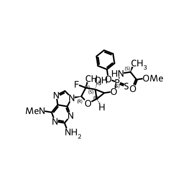 CNc1nc(N)nc2c1ncn2[C@@H]1O[C@@H]2C(O[P@@](=S)(N[C@@H](C)C(=O)OC)Oc3ccccc3)[C@]2(O)[C@@]1(C)F